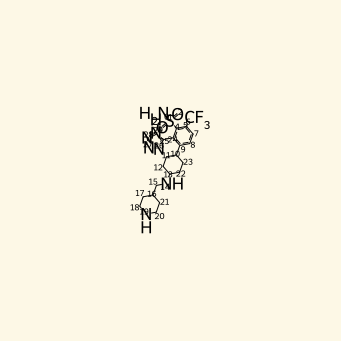 NS(=O)(=O)c1c(C(F)(F)F)ccc(C2CCC(NCC3CCNCC3)CC2)c1-c1nnn[nH]1